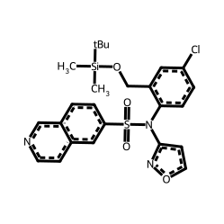 CC(C)(C)[Si](C)(C)OCc1cc(Cl)ccc1N(c1ccon1)S(=O)(=O)c1ccc2cnccc2c1